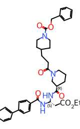 CCOC(=O)C[C@H](NC(=O)c1ccc(-c2ccccc2)cc1)NC(=O)[C@@H]1CCCN(C(=O)CCC2CCN(C(=O)OCc3ccccc3)CC2)C1